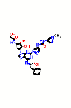 Cn1cc(NC(=O)Nc2cnn(-c3nc(N[C@H](CO)Cc4ccccc4)c4ncn([C@@H]5C[C@H](NC(=O)CO)[C@@H](O)[C@H]5O)c4n3)c2)cn1